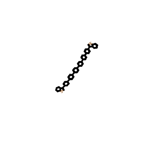 c1ccc2c(-c3ccc(-c4ccc(-c5ccc(-c6ccc(-c7ccc(-c8ccc(-c9csc%10ccccc9%10)cc8)cc7)cc6)cc5)cc4)cc3)csc2c1